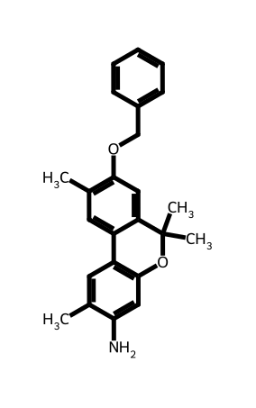 Cc1cc2c(cc1N)OC(C)(C)c1cc(OCc3ccccc3)c(C)cc1-2